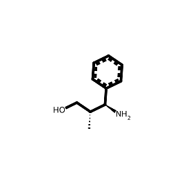 C[C@H](CO)[C@H](N)c1ccccc1